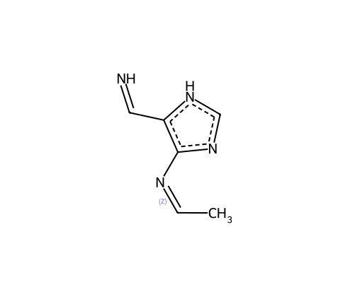 C/C=N\c1nc[nH]c1C=N